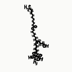 CCCCCCCCCC(=O)OCCCCCCN(CCCO)CCCCCCC(C)(C(=O)O)C(=O)O